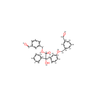 O=Cc1cccc(COC(=O)C(O)(c2ccccc2)c2cccc(OCc3cccc(C=O)c3)c2)c1